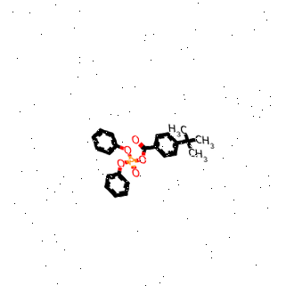 CC(C)(C)c1ccc(C(=O)OP(=O)(Oc2ccccc2)Oc2ccccc2)cc1